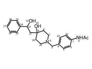 CC(=O)Nc1ccc(CN2CCC(O)(CC(O)c3ccccc3)CC2)cc1